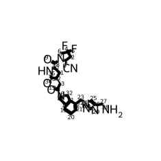 N#C[C@@H]1CC(F)(F)CN1C(=O)[C@@H]1C[C@@H](CC(=O)N2Cc3cccc(Cn4cc(CN)nn4)c3C2)C(=O)N1